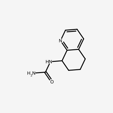 NC(=O)NC1CCCc2cccnc21